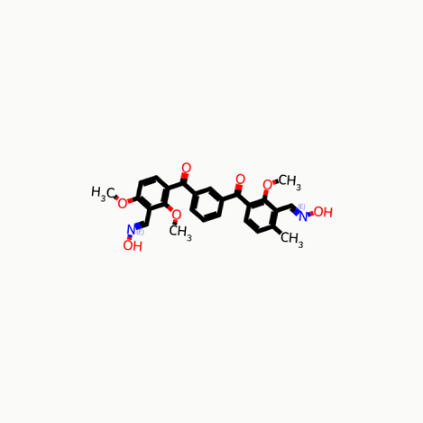 COc1ccc(C(=O)c2cccc(C(=O)c3ccc(C)c(/C=N/O)c3OC)c2)c(OC)c1/C=N/O